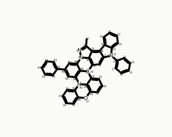 Cc1nn2c3c(cc4c(c5ccccc5n4-c4ccccc4)c13)B1c3cccc4c3N(c3ccccc3O4)c3cc(-c4ccccc4)cc-2c31